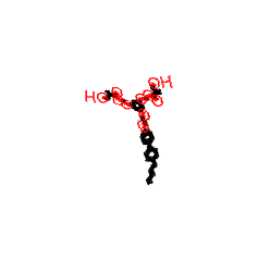 C=C(CO)C(=O)OCOc1cc(OCCOc2ccc(C3CCC(CCCCC)CC3)cc2)cc(OCOC(=O)C(=C)CO)c1